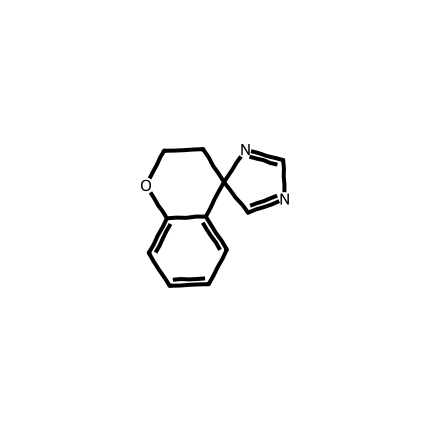 C1=NC=NC12CCOc1ccccc12